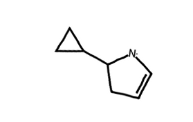 C1=C[N]C(C2CC2)C1